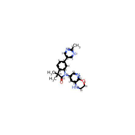 Cc1ncc(-c2ccc3c(c2)N(c2cnc4c(c2)NCCO4)C(=O)C3(C)C)cn1